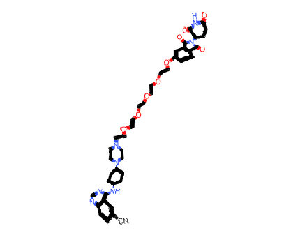 N#Cc1ccc2ncnc(N[C@H]3CC[C@H](N4CCN(CCOCCOCCOCCOCCOc5ccc6c(c5)C(=O)N(C5CCC(=O)NC5=O)C6=O)CC4)CC3)c2c1